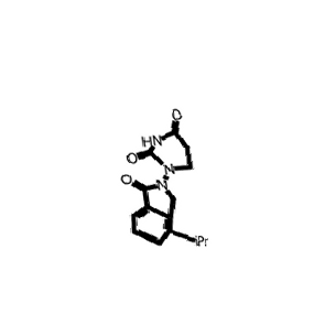 CC(C)c1cccc2c1CN(N1CCC(=O)NC1=O)C2=O